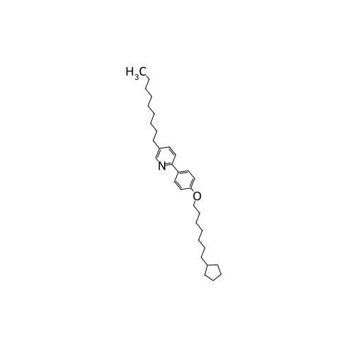 CCCCCCCCCc1ccc(-c2ccc(OCCCCCCCC3CCCC3)cc2)nc1